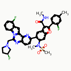 CNC(=O)c1c(-c2ccc(C)cc2F)oc2cc(N(C)S(C)(=O)=O)c(-c3ccc4nc(CN5CC[C@H](F)C5)n5c6cccc(F)c6cc5c4n3)cc12